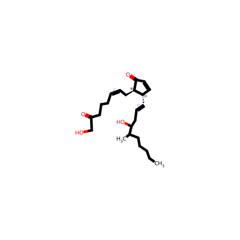 CCCCCC(C)C(O)C/C=C/[C@H]1C=CC(=O)[C@@H]1C/C=C\CCCC(=O)CO